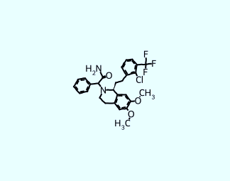 COc1cc2c(cc1OC)[C@H](CCc1cccc(C(F)(F)F)c1Cl)N(C(C(N)=O)c1ccccc1)CC2